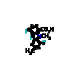 Cc1ccc(N(C)c2c(C(=O)O)ccc(F)c2F)c(F)c1